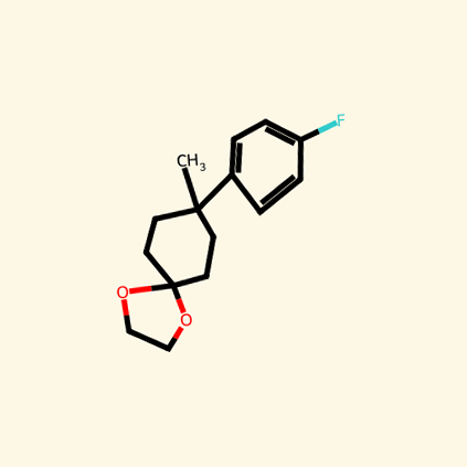 CC1(c2ccc(F)cc2)CCC2(CC1)OCCO2